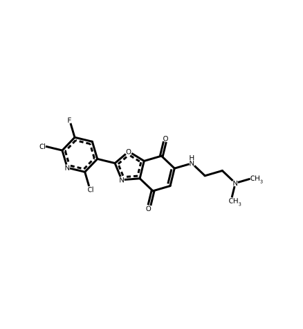 CN(C)CCNC1=CC(=O)c2nc(-c3cc(F)c(Cl)nc3Cl)oc2C1=O